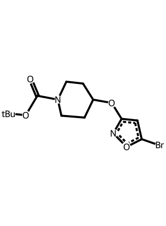 CC(C)(C)OC(=O)N1CCC(Oc2cc(Br)on2)CC1